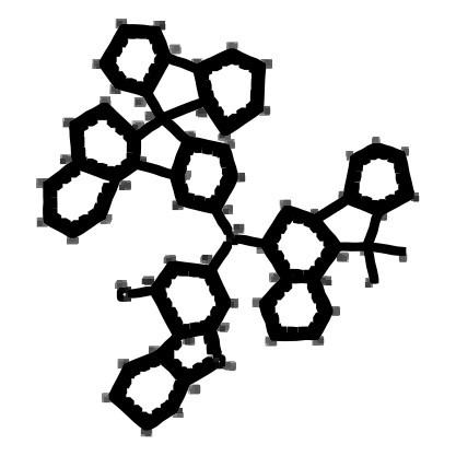 CC1(C)c2ccccc2-c2cc(N(c3ccc4c(c3)-c3c(ccc5ccccc35)C43c4ccccc4-c4ccccc43)c3cc(Cl)c4c(c3)oc3ccccc34)c3ccccc3c21